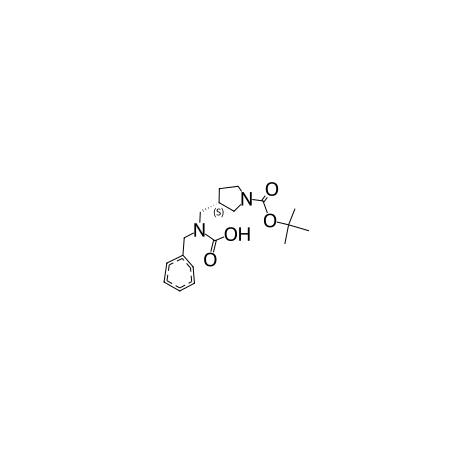 CC(C)(C)OC(=O)N1CC[C@@H](CN(Cc2ccccc2)C(=O)O)C1